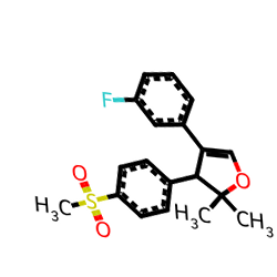 CC1(C)OC=C(c2cccc(F)c2)C1c1ccc(S(C)(=O)=O)cc1